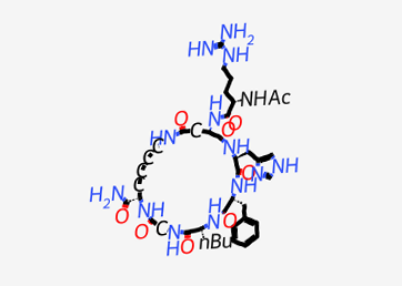 CCCC[C@H]1NC(=O)[C@@H](Cc2ccccc2)NC(=O)[C@H](Cc2c[nH]cn2)NC(=O)[C@@H](NC(=O)[C@H](CCCNC(=N)N)NC(C)=O)CC(=O)NCCCC[C@@H](C(N)=O)NC(=O)CNC1=O